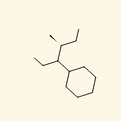 C[C@@H](CO)C(CO)C1CCCCC1